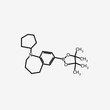 CC1(C)OB(c2ccc3c(c2)CCCCN3C2CCCCC2)OC1(C)C